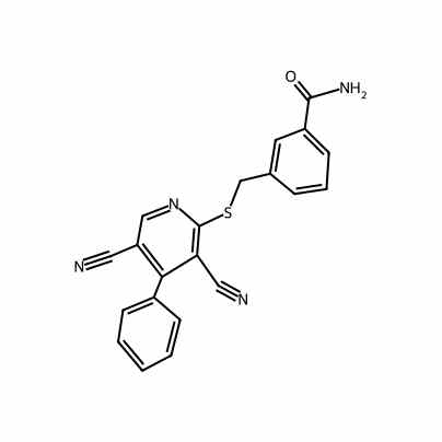 N#Cc1cnc(SCc2cccc(C(N)=O)c2)c(C#N)c1-c1ccccc1